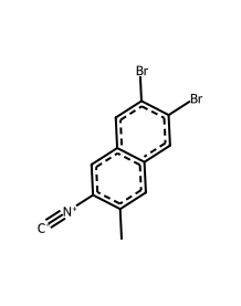 [C-]#[N+]c1cc2cc(Br)c(Br)cc2cc1C